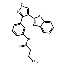 CCCC(=S)Nc1cccc(-c2n[nH]cc2-c2nc3ccccc3o2)c1